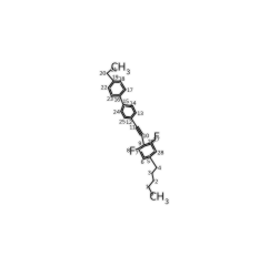 CCCCCc1cc(F)c(C#Cc2ccc(-c3ccc(CC)cc3)cc2)c(F)c1